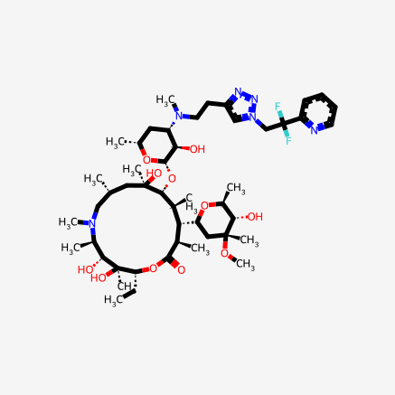 CC[C@H]1OC(=O)[C@H](C)[C@@H](C2C[C@@](C)(OC)[C@@H](O)[C@H](C)O2)[C@H](C)[C@@H](O[C@@H]2O[C@H](C)C[C@H](N(C)CCc3cn(CC(F)(F)c4ccccn4)nn3)[C@H]2O)[C@](C)(O)C[C@@H](C)CN(C)[C@H](C)[C@@H](O)[C@]1(C)O